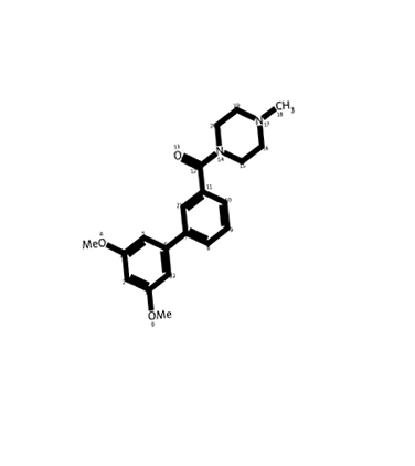 COc1cc(OC)cc(-c2cccc(C(=O)N3CCN(C)CC3)c2)c1